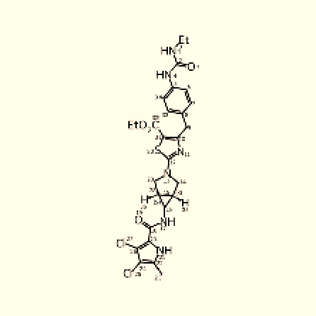 CCNC(=O)Nc1ccc(Cc2nc(N3C[C@@H]4C(NC(=O)c5[nH]c(C)c(Cl)c5Cl)[C@@H]4C3)sc2C(=O)OCC)cc1